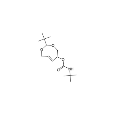 CC(C)(C)NC(=O)OC1/C=C/COC(C(C)(C)C)OC1